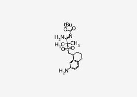 CC(C)(C)OC(=O)N=C(N)C(C)(C)S(=O)(=O)CC1CCCc2ccc(N)cc21